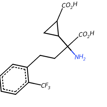 NC(CCc1ccccc1C(F)(F)F)(C(=O)O)C1CC1C(=O)O